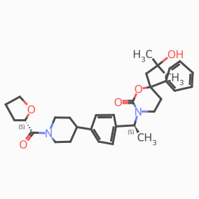 C[C@@H](c1ccc(C2CCN(C(=O)[C@@H]3CCCO3)CC2)cc1)N1CCC(CC(C)(C)O)(c2ccccc2)OC1=O